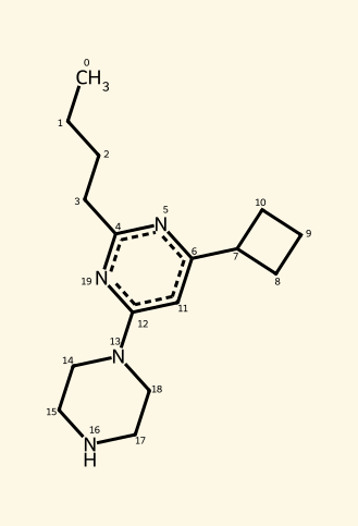 CCCCc1nc(C2CCC2)cc(N2CCNCC2)n1